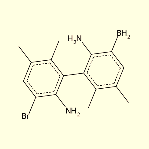 Bc1cc(C)c(C)c(-c2c(C)c(C)cc(Br)c2N)c1N